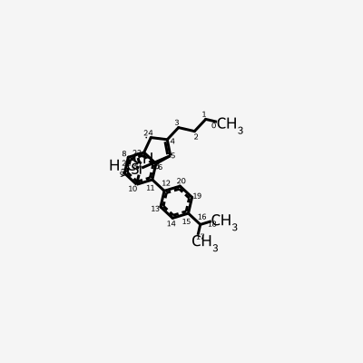 CCCCC1=C2c3c(ccc(c3-c3ccc(C(C)C)cc3)[Si]2(C)C)[CH]1